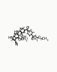 CCOCCN(C)C1CCN(C(=O)c2cnc(Nc3cc(OC)c4c(C#N)c[nH]c4n3)c(OC)c2)CC1